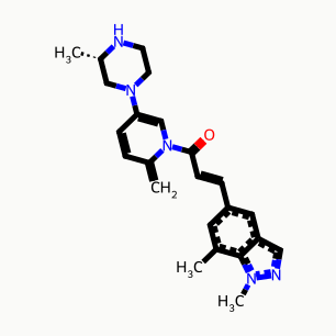 C=C1C=CC(N2CCN[C@@H](C)C2)=CN1C(=O)/C=C/c1cc(C)c2c(cnn2C)c1